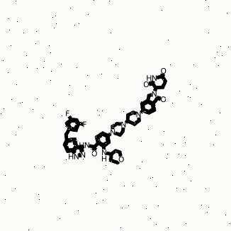 O=C1CCC(N2Cc3cc(N4CCC(N5CCN(c6ccc(C(=O)Nc7n[nH]c8ccc(Cc9cc(F)cc(F)c9)cc78)c(NC7CCOCC7)c6)CC5)CC4)ccc3C2=O)C(=O)N1